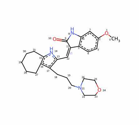 COc1ccc2c(c1)NC(=O)/C2=C\c1[nH]c2c(c1CCCN1CCOCC1)CCCCC2